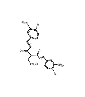 CCOC(=O)CC(C(=O)/C=C/c1ccc(Br)c(OC)c1)C(=O)/C=C/c1ccc(Br)c(OC)c1